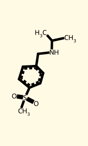 CC(C)NCc1ccc(S(C)(=O)=O)cc1